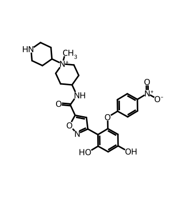 C[N+]1(C2CCNCC2)CCC(NC(=O)c2cc(-c3c(O)cc(O)cc3Oc3ccc([N+](=O)[O-])cc3)no2)CC1